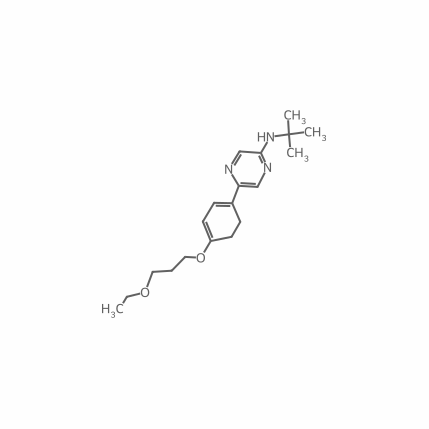 CCOCCCOC1=CC=C(c2cnc(NC(C)(C)C)cn2)CC1